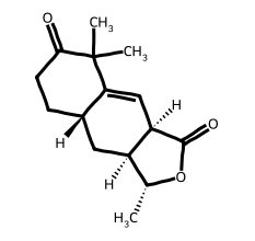 C[C@H]1OC(=O)[C@@H]2C=C3[C@@H](CCC(=O)C3(C)C)C[C@H]12